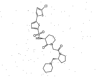 O=C1[C@@H](NS(=O)(=O)c2ccc(-c3ccc(Cl)s3)s2)CCCN1CC(=O)N1CCC[C@H]1CN1CCCCC1